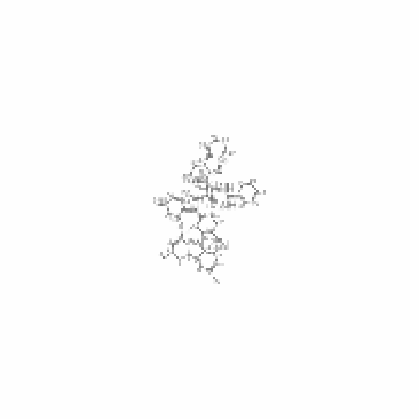 CC1=CC(C)CC2c3cc(C)cc(C)c3N(C3=C(C#N)CC(C4NC(C5=CC=CCC5)NC(C5CCCC6C7=CCCC=C7SC65)N4)C(n4c5c(c6cc(C)cc(C)c64)CC(C)CC5C)=C3)C12